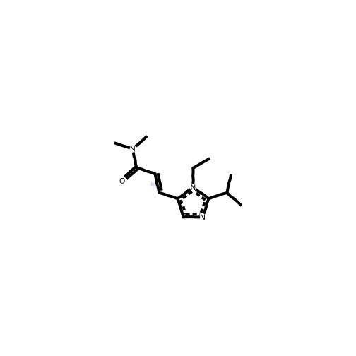 CCn1c(/C=C/C(=O)N(C)C)cnc1C(C)C